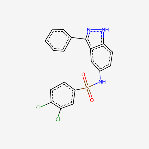 O=S(=O)(Nc1ccc2[nH]nc(-c3ccccc3)c2c1)c1ccc(Cl)c(Cl)c1